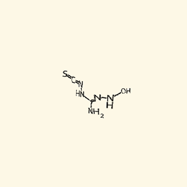 NC(=NNO)NN=C=S